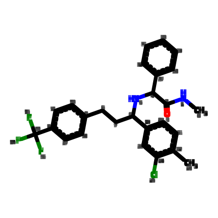 CNC(=O)C(NC(CCc1ccc(C(F)(F)F)cc1)c1ccc(C)c(Cl)c1)c1ccccc1